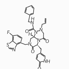 C=CCN1CC(=O)N2[C@@H](Cc3ccc(=O)[nH]c3)C(=O)N(Cc3ccc(F)c4scnc34)C[C@@H]2N1C(=O)NCc1ccccc1